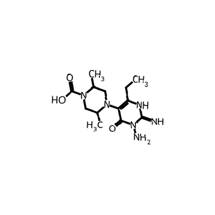 CCc1[nH]c(=N)n(N)c(=O)c1N1CC(C)N(C(=O)O)CC1C